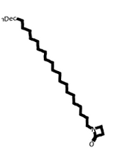 CCCCCCCCCCCCCCCCCCCCCCCCCCCCCCN1CCC1=O